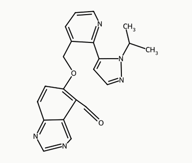 CC(C)n1nccc1-c1ncccc1COc1ccc2ncncc2c1C=O